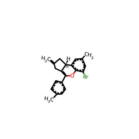 C=C1CC2=C(c3ccc(C)cc3)Oc3c(Br)cc(C)cc3[C@H]2C1